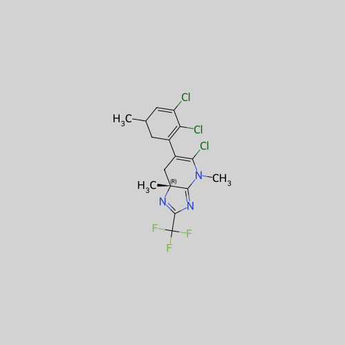 CC1C=C(Cl)C(Cl)=C(C2=C(Cl)N(C)C3=NC(C(F)(F)F)=N[C@]3(C)C2)C1